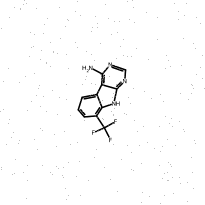 Nc1ncnc2[nH]c3c(C(F)(F)F)cccc3c12